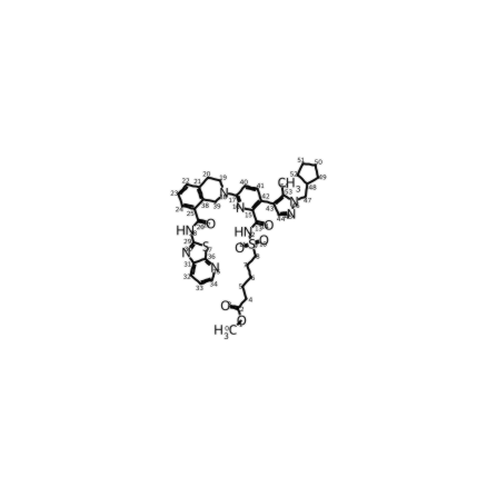 COC(=O)CCCCCS(=O)(=O)NC(=O)c1nc(N2CCc3cccc(C(=O)Nc4nc5cccnc5s4)c3C2)ccc1-c1cnn(CC2CCCC2)c1C